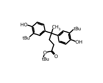 CC(C)(C)OC(=O)CCC(C)(c1ccc(O)c(C(C)(C)C)c1)c1ccc(O)c(C(C)(C)C)c1